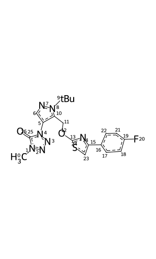 Cn1nnn(-c2cnn(C(C)(C)C)c2COc2nc(-c3ccc(F)cc3)cs2)c1=O